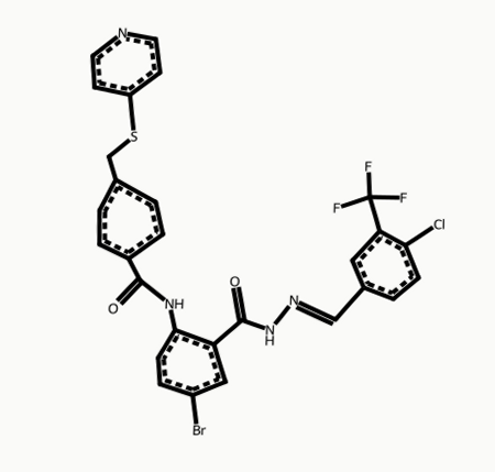 O=C(Nc1ccc(Br)cc1C(=O)N/N=C/c1ccc(Cl)c(C(F)(F)F)c1)c1ccc(CSc2ccncc2)cc1